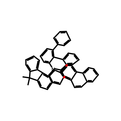 CC1(C)c2ccccc2-c2c(N(c3ccc4c(ccc5ccccc54)c3)c3cccc(-c4ccccc4)c3-c3ccccc3-c3ccccc3)cccc21